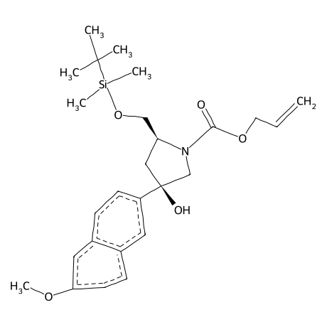 C=CCOC(=O)N1C[C@](O)(c2ccc3cc(OC)ccc3c2)C[C@H]1CO[Si](C)(C)C(C)(C)C